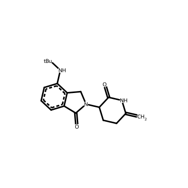 C=C1CCC(N2Cc3c(NC(C)(C)C)cccc3C2=O)C(=O)N1